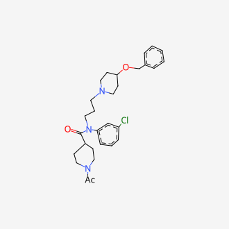 CC(=O)N1CCC(C(=O)N(CCCN2CCC(OCc3ccccc3)CC2)c2cccc(Cl)c2)CC1